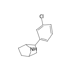 Clc1cccc(C2CC3CCC2N3)c1